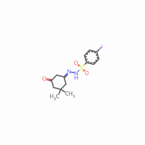 CC1(C)CC(=O)CC(=NNS(=O)(=O)c2ccc(I)cc2)C1